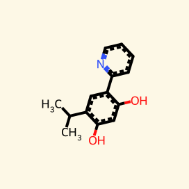 CC(C)c1cc(-c2ccccn2)c(O)cc1O